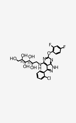 OC[C@@H](O)[C@@H](O)[C@H](O)[C@@H](O)CNc1nc(Oc2ccc(F)cc2F)nc2[nH]nc(-c3ccccc3Cl)c12